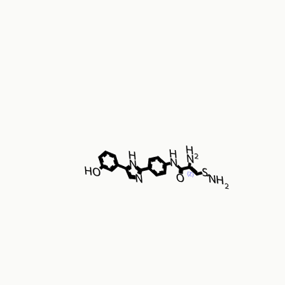 NS/C=C(\N)C(=O)Nc1ccc(-c2ncc(-c3cccc(O)c3)[nH]2)cc1